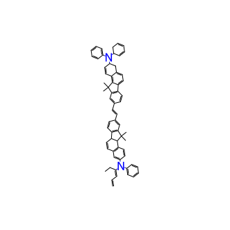 C=C/C=C(\CC)N(c1ccccc1)c1ccc2c(c1)C=CC1c3ccc(/C=C/c4ccc5c(c4)C(C)(C)c4c-5ccc5c4C=CC(N(c4ccccc4)C4C=CC=CC4)C5)cc3C(C)(C)C21